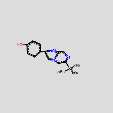 CCC[CH2][Sn]([CH2]CCC)([CH2]CCC)[c]1cn2cc(-c3ccc(O)cc3)nc2cn1